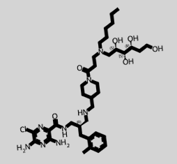 CCCCCCN(CCC(=O)N1CCC(CNC[C@H](CNC(=O)c2nc(Cl)c(N)nc2N)Cc2ccccc2C)CC1)C[C@H](O)[C@@H](O)[C@H](O)CCO